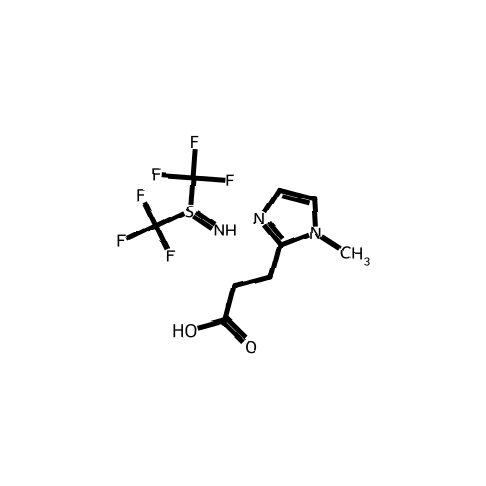 Cn1ccnc1CCC(=O)O.N=S(C(F)(F)F)C(F)(F)F